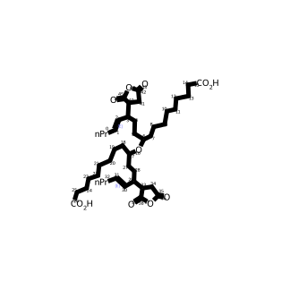 CCC/C=C/C(CCC(CCCCCCCCC(=O)O)OC(CCCCCCCCC(=O)O)CCC(/C=C/CCC)C1CC(=O)OC1=O)C1CC(=O)OC1=O